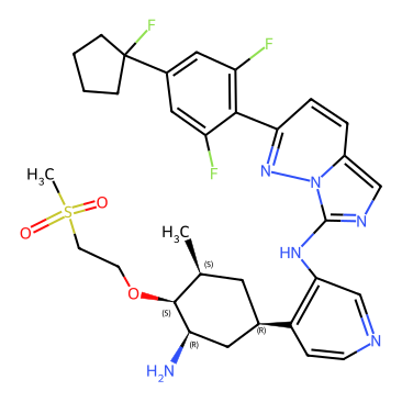 C[C@H]1C[C@@H](c2ccncc2Nc2ncc3ccc(-c4c(F)cc(C5(F)CCCC5)cc4F)nn23)C[C@@H](N)[C@H]1OCCS(C)(=O)=O